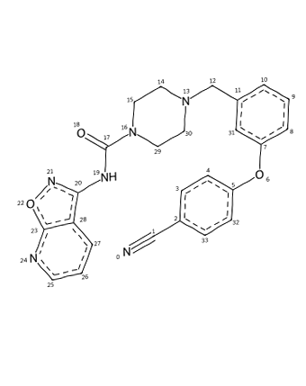 N#Cc1ccc(Oc2cccc(CN3CCN(C(=O)Nc4noc5ncccc45)CC3)c2)cc1